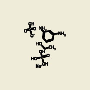 CCO.Nc1cccc(N)c1.O=P(O)(O)O.O=S(=O)([O-])O.[Na+]